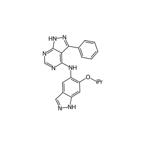 CC(C)Oc1cc2[nH]ncc2cc1Nc1ncnc2[nH]nc(-c3ccccc3)c12